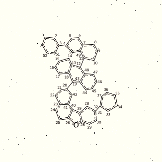 c1ccc(-c2ccc3cccc(-c4c5ccccc5c(-c5ccc6ccc7oc8ccc(-c9ccccc9)cc8c7c6c5)c5ccccc45)c3c2)cc1